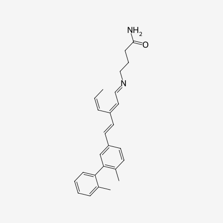 C\C=C/C(/C=C/c1ccc(C)c(-c2ccccc2C)c1)=C\C=N\CCCC(N)=O